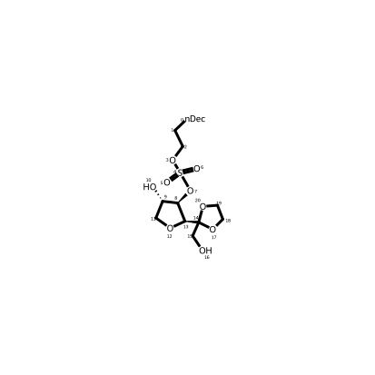 CCCCCCCCCCCCOS(=O)(=O)O[C@@H]1[C@@H](O)CO[C@@H]1C1(CO)OCCO1